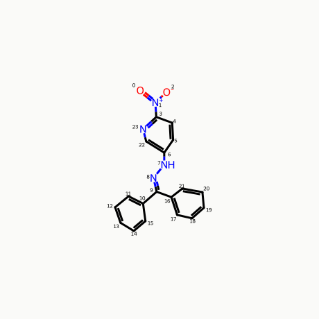 O=[N+]([O-])c1ccc(NN=C(c2ccccc2)c2ccccc2)cn1